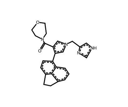 O=C(c1cn(Cc2c[nH]cn2)cc1-c1ccc2c3c(cccc13)CC2)N1CCOCC1